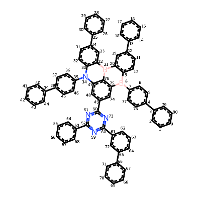 c1ccc(-c2ccc(B3c4ccc(-c5ccccc5)cc4B4c5cc(-c6ccccc6)ccc5N(c5ccc(-c6ccccc6)cc5)c5cc(-c6nc(-c7ccccc7)nc(-c7cccc(-c8ccccc8)c7)n6)cc3c54)cc2)cc1